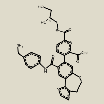 NCc1ccc(NC(=O)c2cc3c(cc2-c2ccc(C(=O)NC[C@H](O)CO)nc2C(=O)O)OCCc2ccsc2-3)cc1